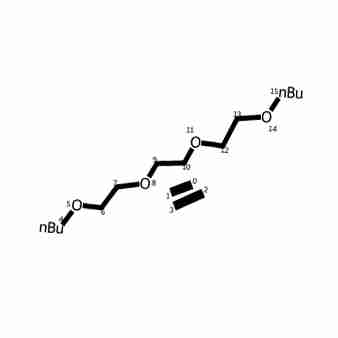 C=C.C=C.CCCCOCCOCCOCCOCCCC